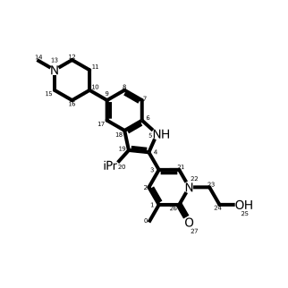 Cc1cc(-c2[nH]c3ccc(C4CCN(C)CC4)cc3c2C(C)C)cn(CCO)c1=O